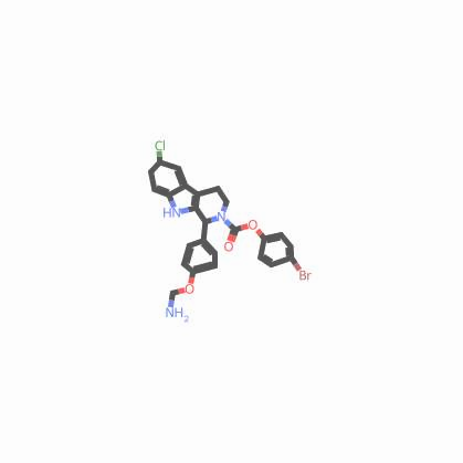 NCOc1ccc(C2c3[nH]c4c(c3CCN2C(=O)Oc2ccc(Br)cc2)=CC(Cl)CC=4)cc1